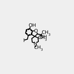 CC(O)C1Oc2c(O)ccc(CI)c2C12CCN(C)CC2C